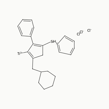 [Cl-].[Cl-].[Cl-].[Ti+3][C]1=C(CC2CCCCC2)CC([SiH2]c2ccccc2)=C1c1ccccc1